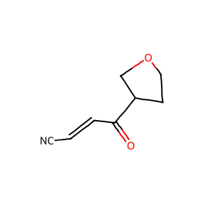 N#CC=CC(=O)C1CCOC1